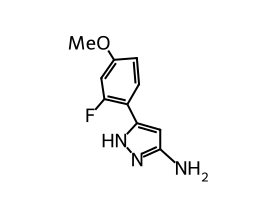 COc1ccc(-c2cc(N)n[nH]2)c(F)c1